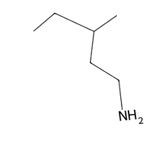 CCC(C)CCN